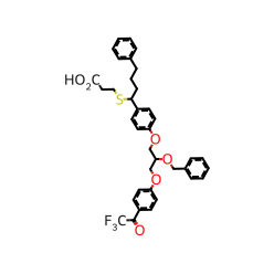 O=C(O)CCSC(CCCc1ccccc1)c1ccc(OCC(COc2ccc(C(=O)C(F)(F)F)cc2)OCc2ccccc2)cc1